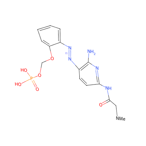 CNCC(=O)Nc1ccc(/N=N/c2ccccc2OCOP(=O)(O)O)c(N)n1